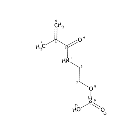 C=C(C)C(=O)NCCO[PH](=O)O